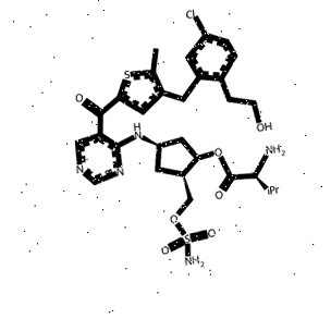 Cc1sc(C(=O)c2cncnc2N[C@H]2CC(OC(=O)[C@@H](N)C(C)C)[C@@H](COS(N)(=O)=O)C2)cc1Cc1cc(Cl)ccc1CCO